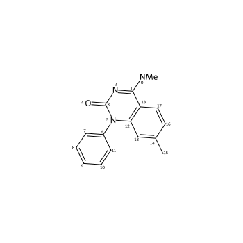 CNc1nc(=O)n(-c2ccccc2)c2cc(C)ccc12